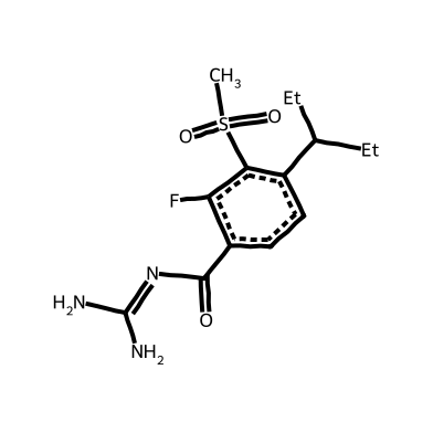 CCC(CC)c1ccc(C(=O)N=C(N)N)c(F)c1S(C)(=O)=O